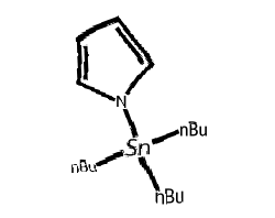 CCC[CH2][Sn]([CH2]CCC)([CH2]CCC)[n]1cccc1